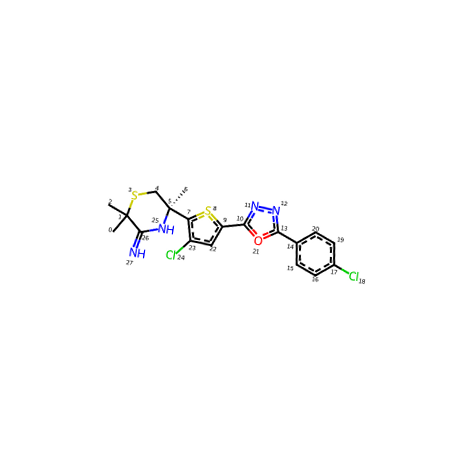 CC1(C)SC[C@@](C)(c2sc(-c3nnc(-c4ccc(Cl)cc4)o3)cc2Cl)NC1=N